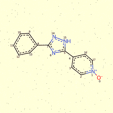 [O-][n+]1ccc(-c2nc(-c3ccccc3)n[nH]2)cc1